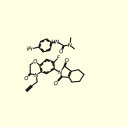 C#CCN1C(=O)COc2cc(F)c(N3C(=O)C4=C(CCCC4)C3=O)cc21.CC(C)c1ccc(NC(=O)N(C)C)cc1